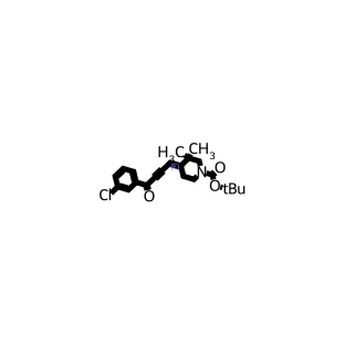 CC(C)(C)OC(=O)N1CC/C(=C\C#CC(=O)c2cccc(Cl)c2)C(C)(C)C1